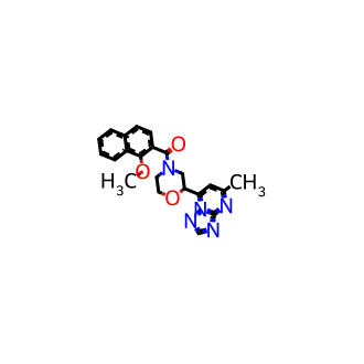 COc1c(C(=O)N2CCOC(c3cc(C)nc4ncnn34)C2)ccc2ccccc12